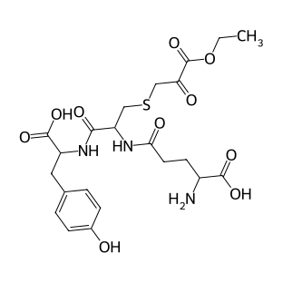 CCOC(=O)C(=O)CSCC(NC(=O)CCC(N)C(=O)O)C(=O)NC(Cc1ccc(O)cc1)C(=O)O